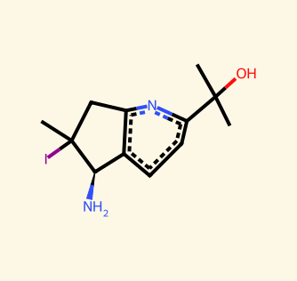 CC(C)(O)c1ccc2c(n1)CC(C)(I)[C@@H]2N